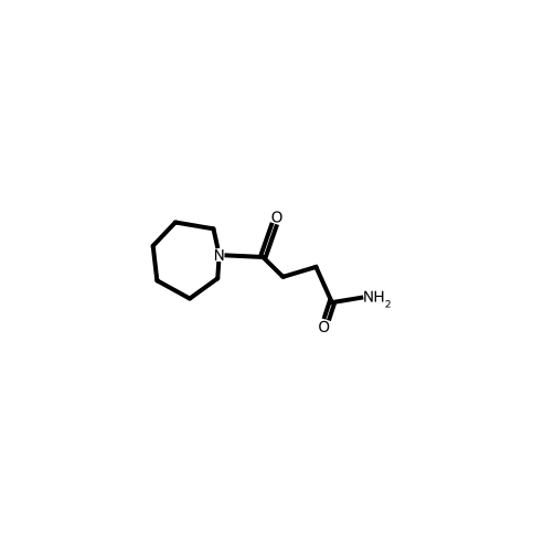 NC(=O)CCC(=O)N1CCCCCC1